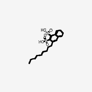 CCCCCCCCCc1cc2ccccc2c(S(=O)(=O)O)c1S(=O)(=O)O